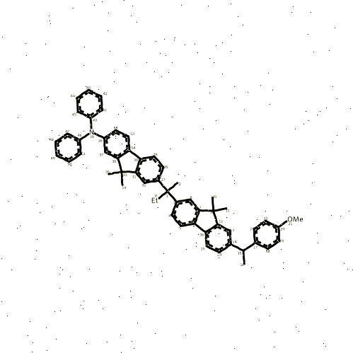 CCC(C)(c1ccc2c(c1)C(C)(C)c1cc(C(C)c3ccc(OC)cc3)ccc1-2)c1ccc2c(c1)C(C)(C)c1cc(N(c3ccccc3)c3ccccc3)ccc1-2